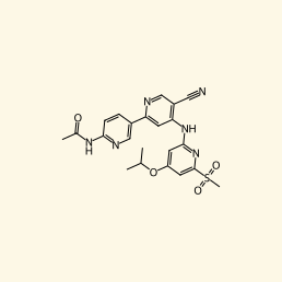 CC(=O)Nc1ccc(-c2cc(Nc3cc(OC(C)C)cc(S(C)(=O)=O)n3)c(C#N)cn2)cn1